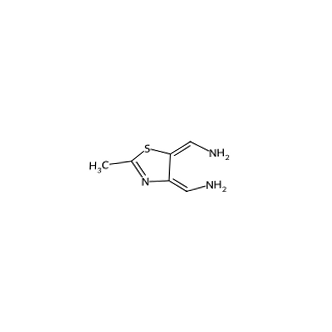 Cc1nc(=C/N)/c(=C\N)s1